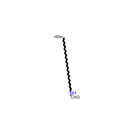 CCCCCCCCCCCCCCCCCCCCCCCCCCCCCCCCCCCCNCC=O